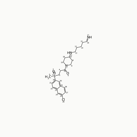 C[SH](=O)(CCC(=O)N1CCC(NCCCCC=N)CC1)c1ccc2cc(Cl)ccc2c1